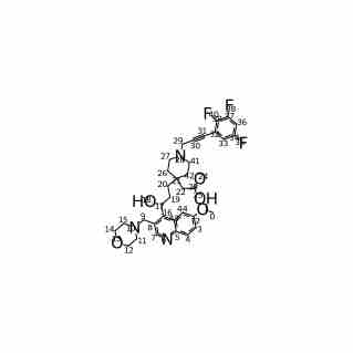 COc1ccc2ncc(CN3CCOCC3)c([C@H](O)CCC3(CC(=O)O)CCN(CC#Cc4cc(F)cc(F)c4F)CC3)c2c1